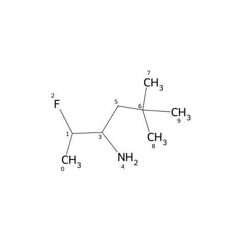 CC(F)C(N)CC(C)(C)C